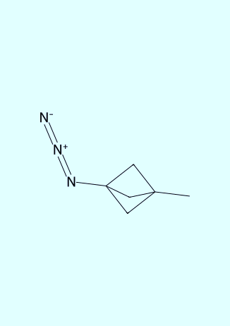 CC12CC(N=[N+]=[N-])(C1)C2